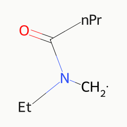 [CH2]N(CC)C(=O)CCC